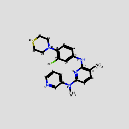 CN(c1cccnc1)c1ccc([N+](=O)[O-])c(Nc2ccc(N3CCSCC3)c(F)c2)n1